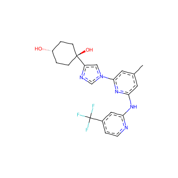 Cc1cc(Nc2cc(C(F)(F)F)ccn2)nc(-n2cnc([C@]3(O)CC[C@H](O)CC3)c2)c1